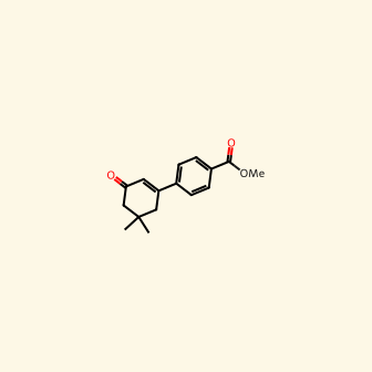 COC(=O)c1ccc(C2=CC(=O)CC(C)(C)C2)cc1